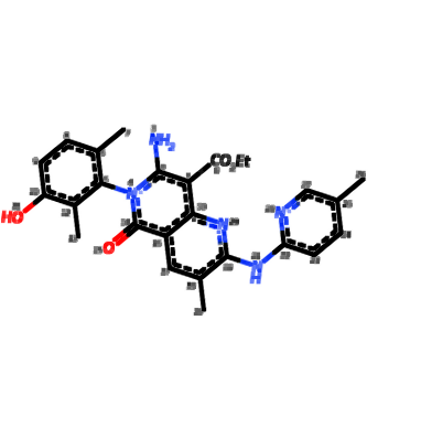 CCOC(=O)c1c(N)n(-c2c(C)ccc(O)c2C)c(=O)c2cc(C)c(Nc3ccc(C)cn3)nc12